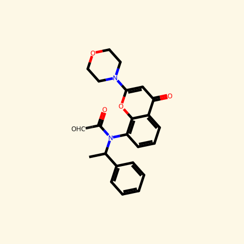 CC(c1ccccc1)N(C(=O)C=O)c1cccc2c(=O)cc(N3CCOCC3)oc12